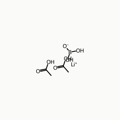 CC(=O)O.CC(=O)O.[Li+].[O-]B(O)O